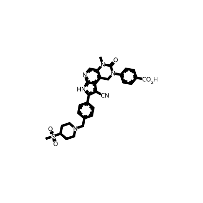 CN1C(=O)N(c2ccc(C(=O)O)cc2)Cc2c1cnc1[nH]c(-c3ccc(CN4CCC(S(C)(=O)=O)CC4)cc3)c(C#N)c21